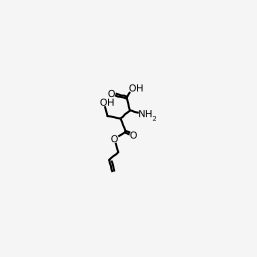 C=CCOC(=O)C(CO)C(N)C(=O)O